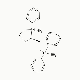 B[PH](CC[C@H]1CCC[PH]1(B)c1ccccc1)(c1ccccc1)c1ccccc1